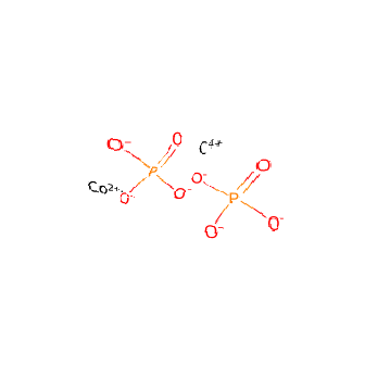 O=P([O-])([O-])[O-].O=P([O-])([O-])[O-].[C+4].[Co+2]